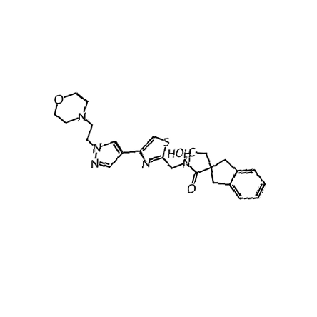 O=C(O)CC1(C(=O)NCc2nc(-c3cnn(CCN4CCOCC4)c3)cs2)Cc2ccccc2C1